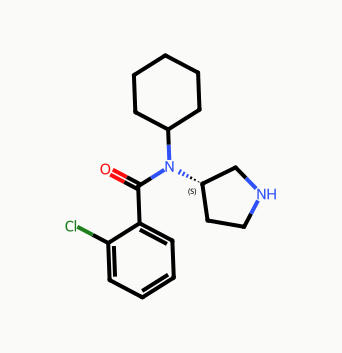 O=C(c1ccccc1Cl)N(C1CCCCC1)[C@H]1CCNC1